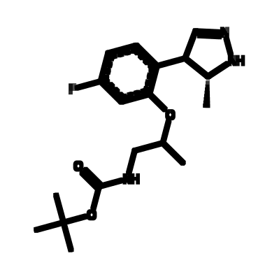 CC(CNC(=O)OC(C)(C)C)Oc1cc(F)ccc1C1C=NN[C@@H]1C